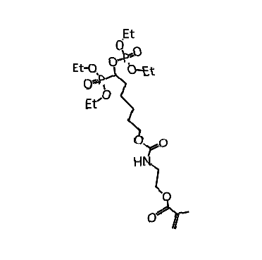 C=C(C)C(=O)OCCNC(=O)OCCCCCC(OP(=O)(OCC)OCC)P(=O)(OCC)OCC